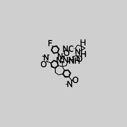 CN(C)C(=O)c1ccc2c(c1)CCc1cc(C(=O)N(C)C)ccc1C2(CCNCC(=O)N1[C@H](C#N)C[C@@H]2C[C@@H]21)c1nn(-c2ccc(F)cc2)c(=O)[nH]1